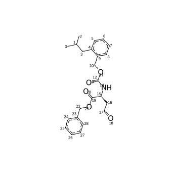 CC(C)Cc1ccccc1COC(=O)N[C@@H](CC=O)C(=O)OCc1ccccc1